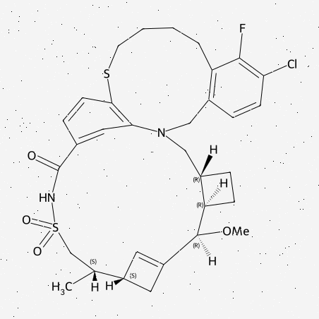 CO[C@H]1C2=C[C@H](C2)[C@H](C)CS(=O)(=O)NC(=O)c2ccc3c(c2)N(Cc2ccc(Cl)c(F)c2CCCCS3)C[C@@H]2CC[C@H]21